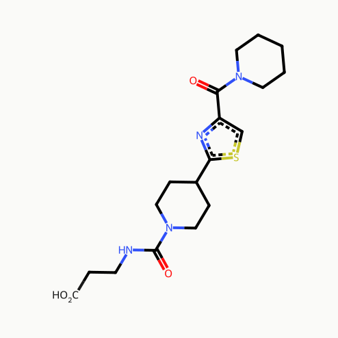 O=C(O)CCNC(=O)N1CCC(c2nc(C(=O)N3CCCCC3)cs2)CC1